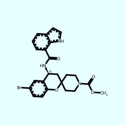 COC(=O)N1CCC2(CC1)C[C@H](NC(=O)c1cccc3cc[nH]c13)c1cc(Br)ccc1O2